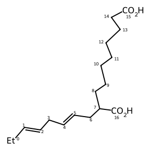 CCC=CCC=CCC(CCCCCCCC(=O)O)C(=O)O